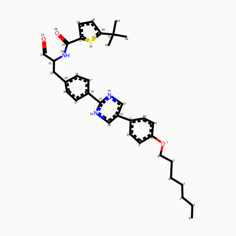 CCCCCCCOc1ccc(-c2cnc(-c3ccc(CC(C=O)NC(=O)c4ccc(C(C)(C)C)s4)cc3)nc2)cc1